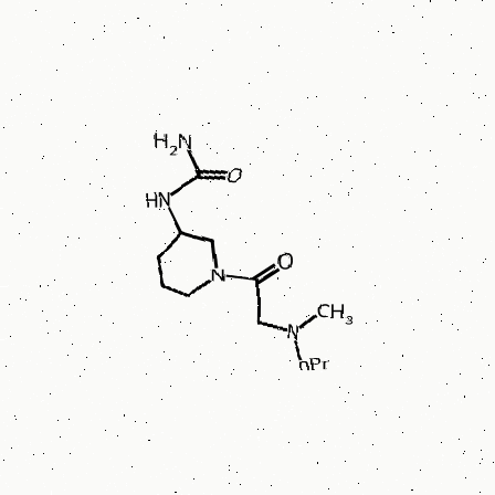 CCCN(C)CC(=O)N1CCCC(NC(N)=O)C1